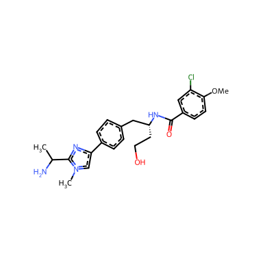 COc1ccc(C(=O)N[C@H](CCO)Cc2ccc(-c3cn(C)c(C(C)N)n3)cc2)cc1Cl